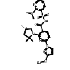 CCC(C)Oc1ccn(-c2ccc(C(=O)NS(=O)(=O)c3cccnc3N(C)C)c(N3C[C@@H](C)CC3(C)C)n2)n1